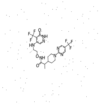 CC(C(=O)NOC[C@H](C)Nc1cn[nH]c(=O)c1C(F)(F)F)C1CCN(c2ncc(C(F)(F)F)cn2)CC1